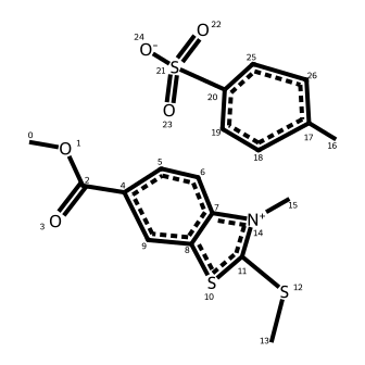 COC(=O)c1ccc2c(c1)sc(SC)[n+]2C.Cc1ccc(S(=O)(=O)[O-])cc1